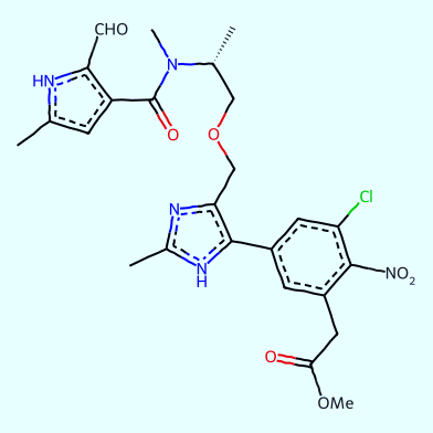 COC(=O)Cc1cc(-c2[nH]c(C)nc2COC[C@@H](C)N(C)C(=O)c2cc(C)[nH]c2C=O)cc(Cl)c1[N+](=O)[O-]